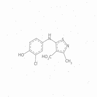 Cc1nsc(Nc2ccc(O)c(Cl)c2)c1C(=O)O